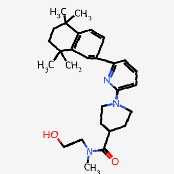 CN(CCO)C(=O)C1CCN(c2cccc(-c3ccc4c(c3)C(C)(C)CCC4(C)C)n2)CC1